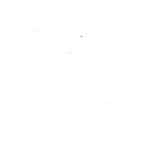 COC(=O)/C=C(/OC)[C@H](C)[C@H](/C=C/c1csc(-c2csc(C(C)C)n2)n1)OC